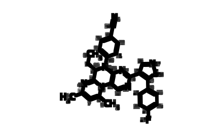 CC[C@@H]1C2=NC(C)=C=C(C)N2c2cnc(-c3cnsc3-c3ccc(F)cc3)nc2N1c1ccc(C#N)cc1